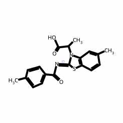 Cc1ccc(C(=O)/N=c2\sc3ccc(C)cc3n2C(C)C(=O)O)cc1